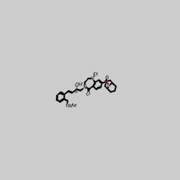 CCN1CCN(C[C@@H](O)CCc2ccccc2CNC)C(=O)c2ccc(C(=O)N3C4CCCC3COC4)cc21